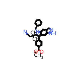 COC(=O)c1ccc(-c2c(C(C)(C)CC#N)n(Cc3ccccc3)c3cc4cn[nH]c4cc23)cc1